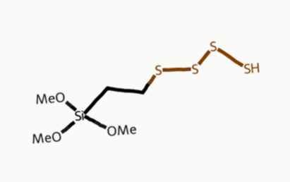 CO[Si](CCSSSS)(OC)OC